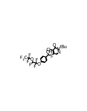 CC(Sc1cnn(C(C)(C)C)c(=O)c1Cl)c1ccc(OC(F)(F)C(F)OC(F)(F)C(F)(F)F)cc1